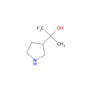 CC(O)(C1CCNC1)C(F)(F)F